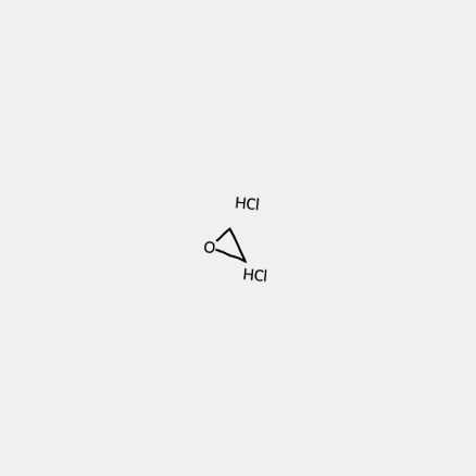 C1CO1.Cl.Cl